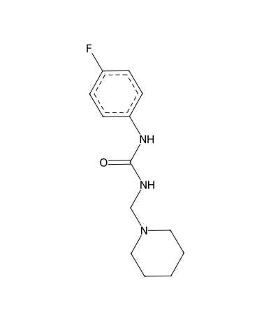 O=C(NCN1CCCCC1)Nc1ccc(F)cc1